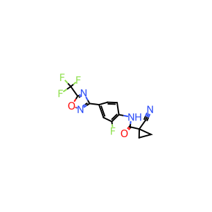 N#CC1(C(=O)Nc2ccc(-c3noc(C(F)(F)F)n3)cc2F)CC1